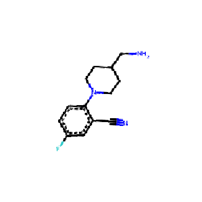 N#Cc1cc(F)ccc1N1CCC(CN)CC1